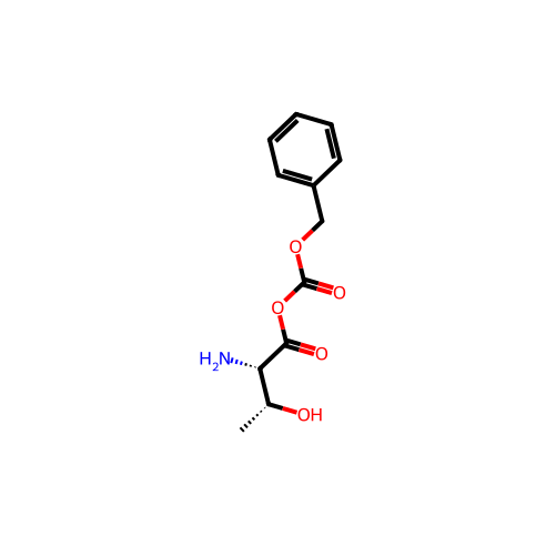 C[C@@H](O)[C@H](N)C(=O)OC(=O)OCc1ccccc1